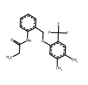 CCC(=O)Nc1ccccc1COc1cc(C)c(C)cc1C(F)(F)F